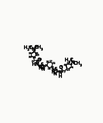 CN(C)c1ccc(CC(=O)Nc2nnc([C@@H]3CCC[C@@H](c4nnc(NC(=O)Cc5ccc(N(C)C)cc5)s4)C3)s2)cc1